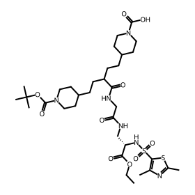 CCOC(=O)[C@H](CNC(=O)CNC(=O)C(CCC1CCN(C(=O)O)CC1)CCC1CCN(C(=O)OC(C)(C)C)CC1)NS(=O)(=O)c1sc(C)nc1C